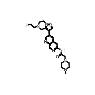 CN1CCN(CC(=O)Nc2cc3cc(-c4cnn5c4CN(CCF)CC5)cnc3cn2)CC1